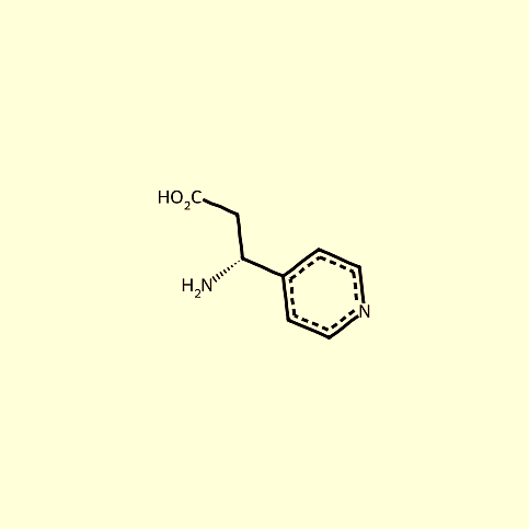 N[C@H](CC(=O)O)c1ccncc1